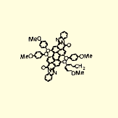 C=C/C=C(\C=C/COC)Oc1cc2c3c(cc(Oc4ccc(OC)cc4)c4c5c(Oc6ccc(OC)cc6)cc6c7c(cc(Oc8ccc(OC)cc8)c(c1c43)c57)c(=O)n1c3ccccc3nc61)c(=O)n1c3ccccc3nc21